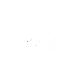 N#CC(C#N)=C1CCN(c2ccc(F)c(F)c2)C1